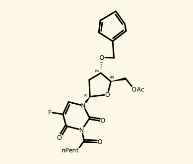 CCCCCC(=O)n1c(=O)c(F)cn([C@H]2C[C@H](OCc3ccccc3)[C@@H](COC(C)=O)O2)c1=O